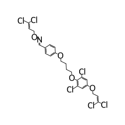 ClC(Cl)=CCON=Cc1ccc(OCCCCOc2c(Cl)cc(OCC=C(Cl)Cl)cc2Cl)cc1